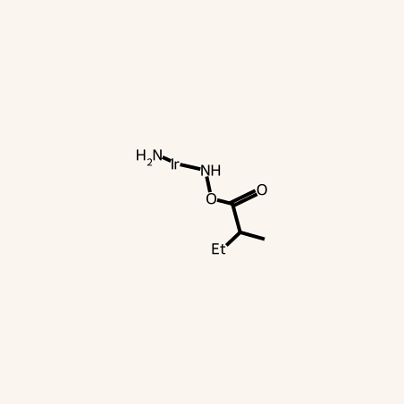 CCC(C)C(=O)O[NH][Ir][NH2]